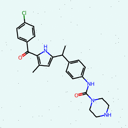 Cc1cc(C(C)c2ccc(NC(=O)N3CCNCC3)cc2)[nH]c1C(=O)c1ccc(Cl)cc1